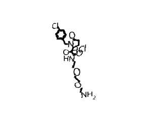 Cl.NCCOCCOCCNC(=O)C(=O)C1CCC(=O)N1Cc1ccc(Cl)cc1